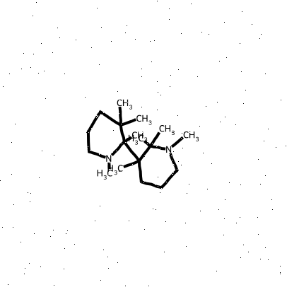 CN1CCCC(C)(C2(C)N(C)CCCC2(C)C)C1(C)C